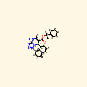 CC1=C(C(=O)OC(C)(C)c2ccccc2)C(c2cccc3ccccc23)n2nnnc2N1